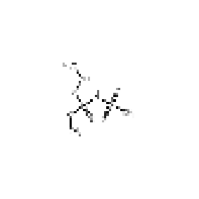 CNOP(=S)(NS(C)(=O)=O)OC